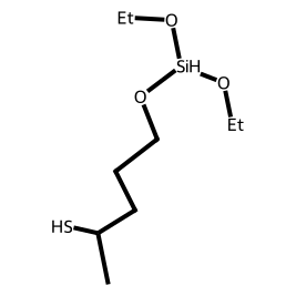 CCO[SiH](OCC)OCCCC(C)S